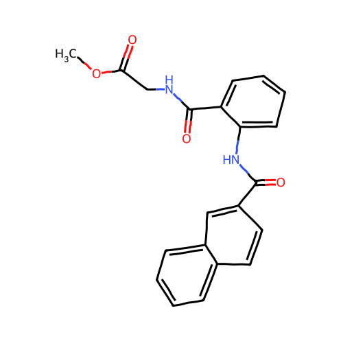 COC(=O)CNC(=O)c1ccccc1NC(=O)c1ccc2ccccc2c1